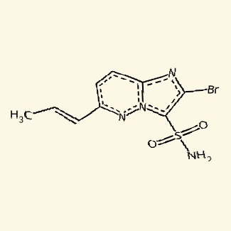 CC=Cc1ccc2nc(Br)c(S(N)(=O)=O)n2n1